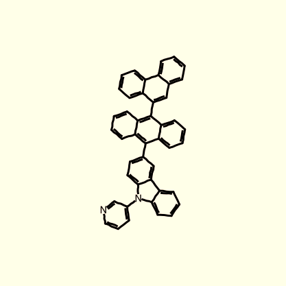 c1cncc(-n2c3ccccc3c3cc(-c4c5ccccc5c(-c5cc6ccccc6c6ccccc56)c5ccccc45)ccc32)c1